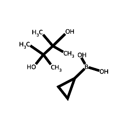 CC(C)(O)C(C)(C)O.OB(O)C1CC1